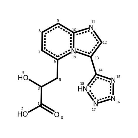 O=C(O)C(O)Cc1cccc2ncc(-c3nnn[nH]3)n12